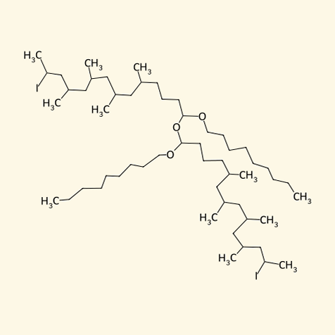 CCCCCCCCCOC(CCCC(C)CC(C)CC(C)CC(C)CC(C)I)OC(CCCC(C)CC(C)CC(C)CC(C)CC(C)I)OCCCCCCCCC